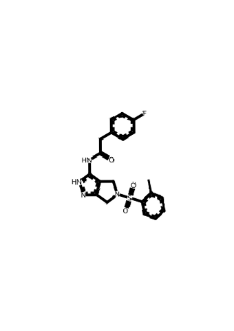 Cc1ccccc1S(=O)(=O)N1Cc2n[nH]c(NC(=O)Cc3ccc(F)cc3)c2C1